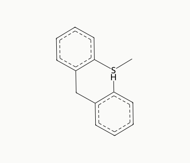 C[SH]1c2ccccc2Cc2ccccc21